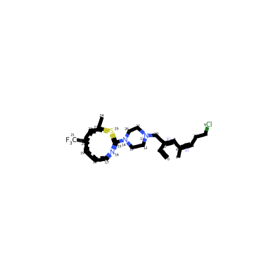 C=C/C(=C\C(C)=C/CCCl)CN1CCN(c2ncccc(C(F)(F)F)cc(C)s2)CC1